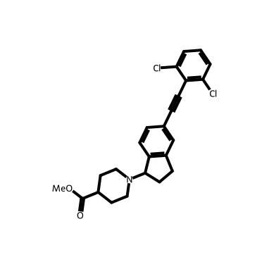 COC(=O)C1CCN(C2CCc3cc(C#Cc4c(Cl)cccc4Cl)ccc32)CC1